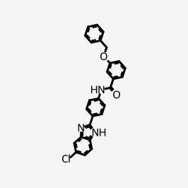 O=C(Nc1ccc(-c2nc3cc(Cl)ccc3[nH]2)cc1)c1cccc(OCc2ccccc2)c1